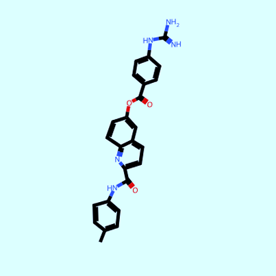 Cc1ccc(NC(=O)c2ccc3cc(OC(=O)c4ccc(NC(=N)N)cc4)ccc3n2)cc1